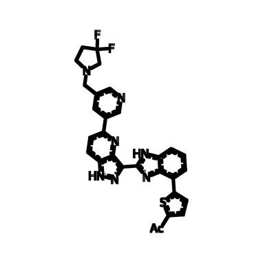 CC(=O)c1ccc(-c2cccc3[nH]c(-c4n[nH]c5ccc(-c6cncc(CN7CCC(F)(F)C7)c6)nc45)nc23)s1